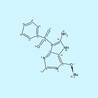 CC[C@H](C)Oc1nc(C)nc2c(S(=O)(=O)c3ccccc3)c(N)[nH]c12